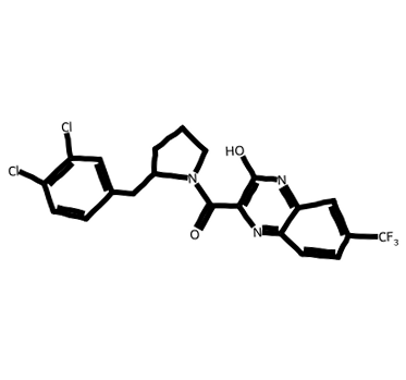 O=C(c1nc2ccc(C(F)(F)F)cc2nc1O)N1CCCC1Cc1ccc(Cl)c(Cl)c1